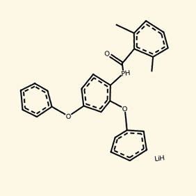 Cc1cccc(C)c1C(=O)Pc1ccc(Oc2ccccc2)cc1Oc1ccccc1.[LiH]